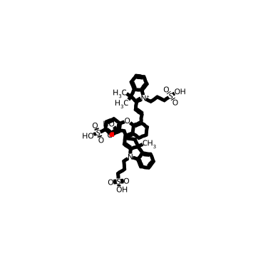 CC1(C)C(/C=C/C2=C(Oc3ccc(S(=O)(=O)O)cc3)C(=C/C=C3/N(CCCS(=O)(=O)O)c4ccccc4C3(C)CCCC(=O)O)/CCC2)=[N+](CCCS(=O)(=O)O)c2ccccc21